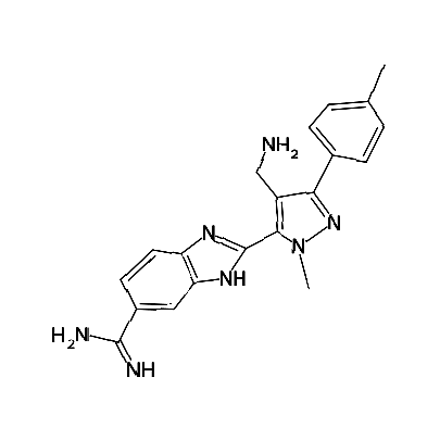 Cc1ccc(-c2nn(C)c(-c3nc4ccc(C(=N)N)cc4[nH]3)c2CN)cc1